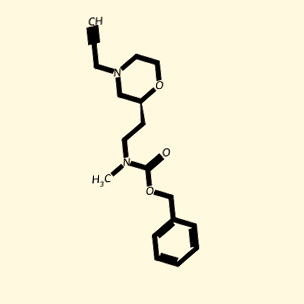 C#CCN1CCO[C@@H](CCN(C)C(=O)OCc2ccccc2)C1